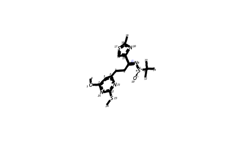 COc1cc(CC/C(=N\[S@+]([O-])C(C)(C)C)c2csc(C)n2)nc(SC)n1